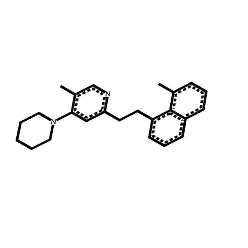 Cc1cnc(CCc2cccc3cccc(C)c23)cc1N1CCCCC1